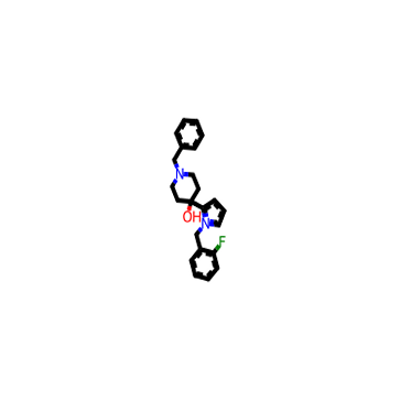 OC1(c2cccn2Cc2ccccc2F)CCN(Cc2ccccc2)CC1